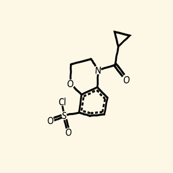 O=C(C1CC1)N1CCOc2c1cccc2S(=O)(=O)Cl